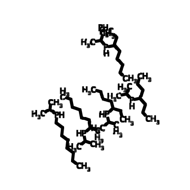 CCCC(CCC)PC(C)C.CCCCC(CC)PC(C)C.CCCCCC(CC)PC(C)C.CCCCCCC(C)PC(C)C.CCCCCCCCPC(C)C.P